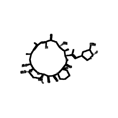 CC/C1=C\C(C)=C/[C@H](C)C[C@H](OC)[C@H]2O[C@@](O)(C(=O)C(=O)N3CCCC[C@H]3C(=O)O[C@H](/C(C)=C/[C@@H]3CC[C@@H](F)[C@H](OC)C3)[C@H](C)[C@@H](O)CC1=O)[C@H](C)C[C@@H]2OC